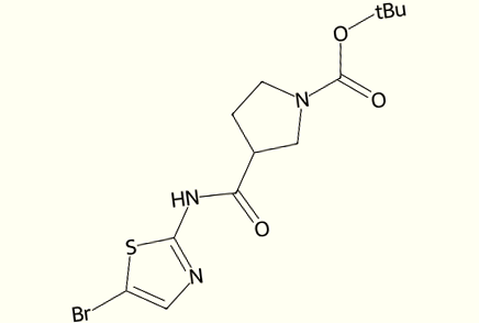 CC(C)(C)OC(=O)N1CCC(C(=O)Nc2ncc(Br)s2)C1